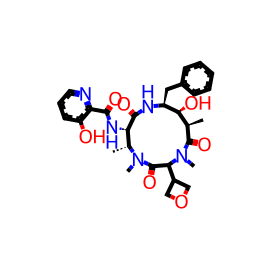 C[C@@H]1[C@H](NC(=O)c2ncccc2O)C(=O)N[C@@H](Cc2ccccc2)[C@@H](O)[C@@H](C)C(=O)N(C)C(C2COC2)C(=O)N1C